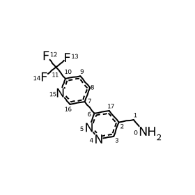 NCc1cnnc(-c2ccc(C(F)(F)F)nc2)c1